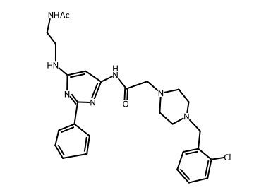 CC(=O)NCCNc1cc(NC(=O)CN2CCN(Cc3ccccc3Cl)CC2)nc(-c2ccccc2)n1